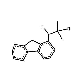 CC(C)(Cl)C(O)c1cccc2c1Cc1ccccc1-2